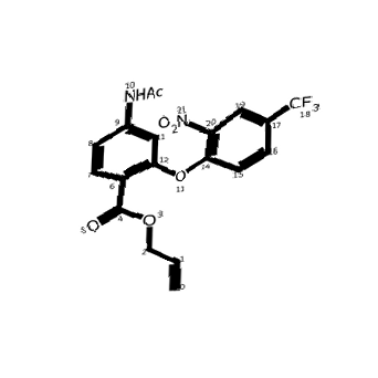 C=CCOC(=O)c1ccc(NC(C)=O)cc1Oc1ccc(C(F)(F)F)cc1[N+](=O)[O-]